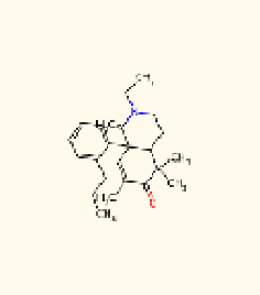 C=C1N(CC)CCC2C(C)(C)C(=O)C(C)=CC12c1ccccc1CCC